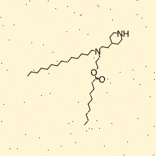 CCCCCCCCCCCCCCN(CCCOC(=O)CCCCCCCCC)CCC1CCNCC1